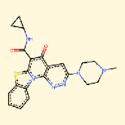 CN1CCN(c2cc3c(=O)c(C(=O)NC4CC4)c4sc5ccccc5n4c3nn2)CC1